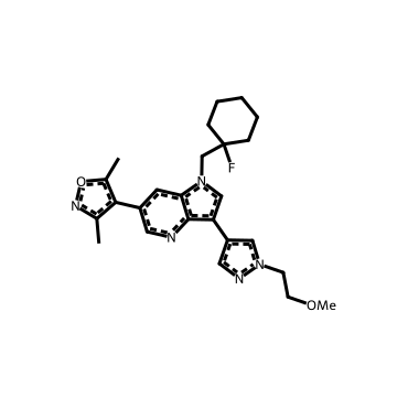 COCCn1cc(-c2cn(CC3(F)CCCCC3)c3cc(-c4c(C)noc4C)cnc23)cn1